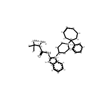 CSC(C)(C)[C@@H](N)C(=O)Nc1nc2ccccc2n1C1CCN(C2(c3ccccc3)CCCCCC2)CC1